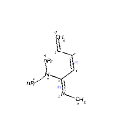 C=C/C=C\C(=N/C)N(CCC)CCC